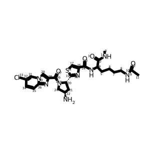 CNC(=O)C(CCCCNC(C)=O)NC(=O)c1csc([C@@H]2C[C@@H](N)CN2C(=O)c2cn3cc(Cl)ccc3n2)n1